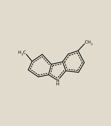 Cc1ccc2[nH]c3ccc(C)cc3c2c1